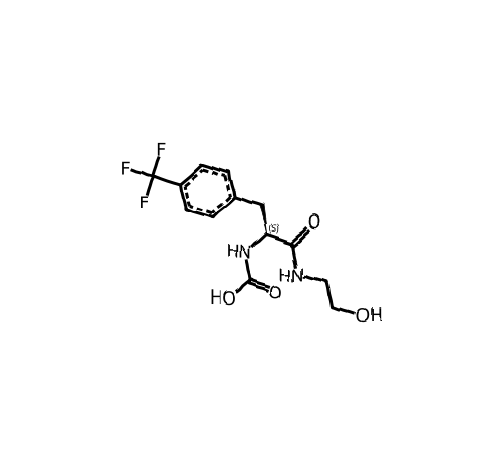 O=C(O)N[C@@H](Cc1ccc(C(F)(F)F)cc1)C(=O)NCCO